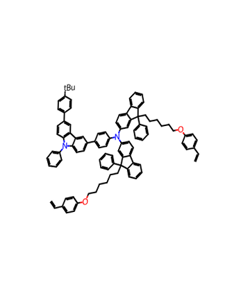 C=Cc1ccc(OCCCCCCC2(c3ccccc3)c3ccccc3-c3ccc(N(c4ccc(-c5ccc6c(c5)c5cc(-c7ccc(C(C)(C)C)cc7)ccc5n6-c5ccccc5)cc4)c4ccc5c(c4)C(CCCCCCOc4ccc(C=C)cc4)(c4ccccc4)c4ccccc4-5)cc32)cc1